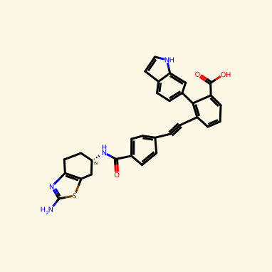 Nc1nc2c(s1)C[C@@H](NC(=O)c1ccc(C#Cc3cccc(C(=O)O)c3-c3ccc4cc[nH]c4c3)cc1)CC2